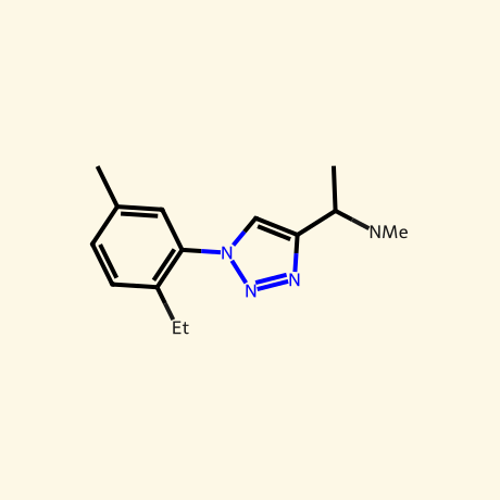 CCc1ccc(C)cc1-n1cc(C(C)NC)nn1